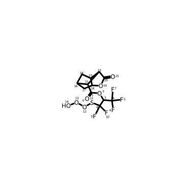 O=C(OC(C(F)(F)F)C(F)(F)SOOO)C1C2CC3OC(=O)C1C3C2